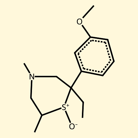 CCC1(c2cccc(OC)c2)CN(C)CC(C)[S+]1[O-]